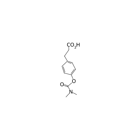 CN(C)C(=O)Oc1ccc(CCC(=O)O)cc1